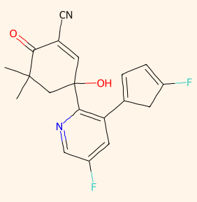 CC1(C)CC(O)(c2ncc(F)cc2C2=CC=C(F)C2)C=C(C#N)C1=O